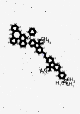 CCC1(CC)c2cc(/C=C/c3ccc4c(c3)C(CC)(CC)c3cc(N(c5ccccc5)c5cc6c(c7ccccc57)-c5ccccc5Cc5ccccc5C6)ccc3-4)ccc2-c2ccc(-c3ccc([Si](C)(C)C)cc3)cc21